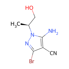 C[C@@H](CO)n1nc(Br)c(C#N)c1N